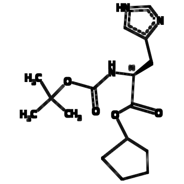 CC(C)(C)OC(=O)N[C@@H](Cc1c[nH]cn1)C(=O)OC1CCCC1